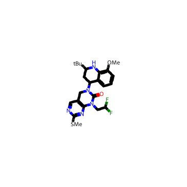 COc1cccc2c1NC(C(C)(C)C)CC2N1Cc2cnc(SC)nc2N(CC(F)F)C1=O